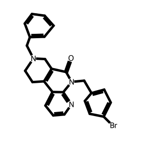 O=c1c2c(c3cccnc3n1Cc1ccc(Br)cc1)CCN(Cc1ccccc1)C2